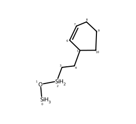 [SiH3]O[SiH2]CCC1C=CCCC1